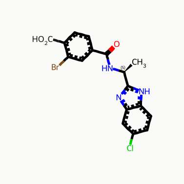 C[C@H](NC(=O)c1ccc(C(=O)O)c(Br)c1)c1nc2cc(Cl)ccc2[nH]1